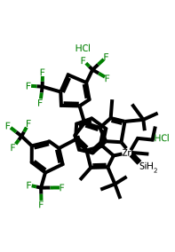 CC[CH2][Zr]([CH3])(=[SiH2])([CH]1C(C(C)(C)C)=C(C)c2c(-c3cc(C(F)(F)F)cc(C(F)(F)F)c3)cccc21)[CH]1C(C(C)(C)C)=C(C)c2c(-c3cc(C(F)(F)F)cc(C(F)(F)F)c3)cccc21.Cl.Cl